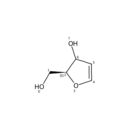 OC[C@@H]1OC=CC1O